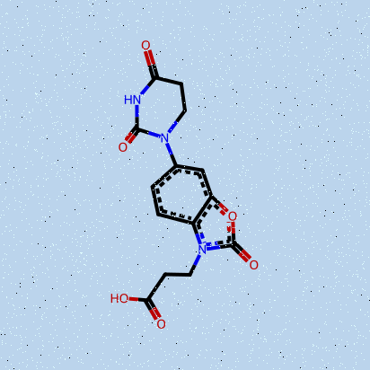 O=C(O)CCn1c(=O)oc2cc(N3CCC(=O)NC3=O)ccc21